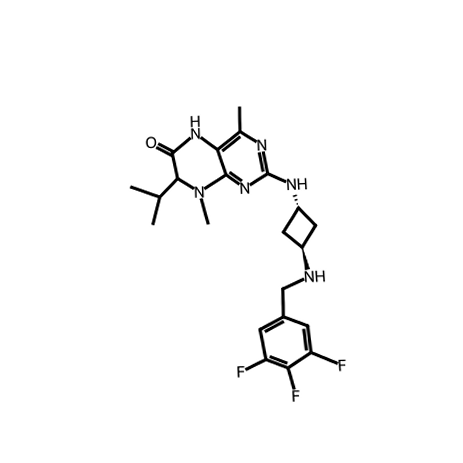 Cc1nc(N[C@H]2C[C@H](NCc3cc(F)c(F)c(F)c3)C2)nc2c1NC(=O)C(C(C)C)N2C